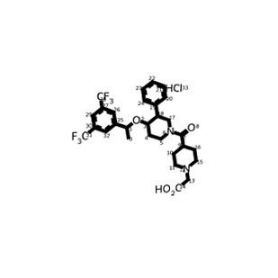 CC(OC1CCN(C(=O)C2CCN(CC(=O)O)CC2)CC1c1ccccc1)c1cc(C(F)(F)F)cc(C(F)(F)F)c1.Cl